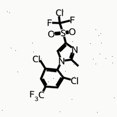 Cc1nc(S(=O)(=O)C(F)(F)Cl)cn1-c1c(Cl)cc(C(F)(F)F)cc1Cl